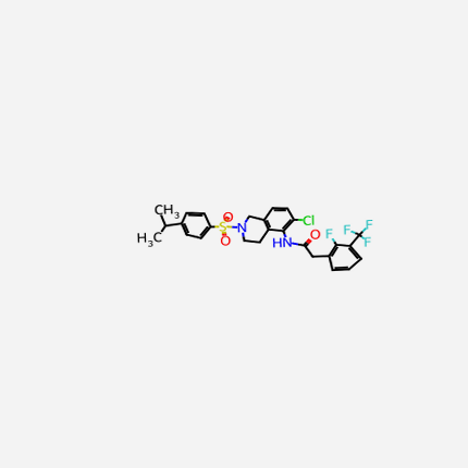 CC(C)c1ccc(S(=O)(=O)N2CCc3c(ccc(Cl)c3NC(=O)Cc3cccc(C(F)(F)F)c3F)C2)cc1